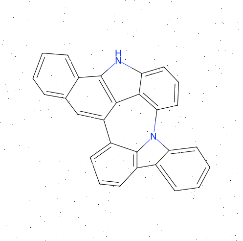 c1ccc2c(c1)cc1c3cccc4c5ccccc5n(c5cccc6[nH]c2c1c65)c34